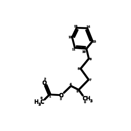 CC(=O)OCC(C)CCCc1ccccc1